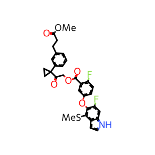 COC(=O)CCc1cccc(C2(C(=O)COC(=O)c3cc(Oc4c(F)cc5[nH]ccc5c4SC)ccc3F)CC2)c1